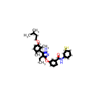 CCc1c(Oc2cccc(C(=O)Nc3cccc(S)c3)c2)n[nH]c1-c1c(C)ccc(OCCC(C)C)c1C